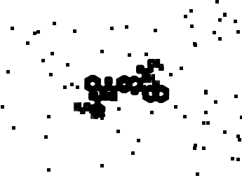 CCC(=O)N[C@H](Cc1ccc(NC(=O)[C@@H](NC(=O)c2ccnn2C)C2CCCCC2)cc1)C(=O)N1CCN2CCCC[C@@H]2C1